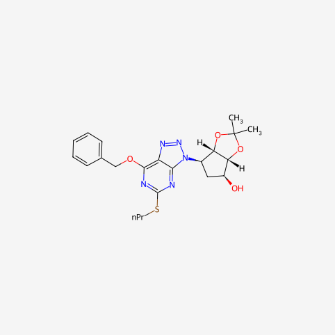 CCCSc1nc(OCc2ccccc2)c2nnn([C@@H]3C[C@H](O)[C@H]4OC(C)(C)O[C@H]43)c2n1